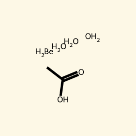 CC(=O)O.O.O.O.[BeH2]